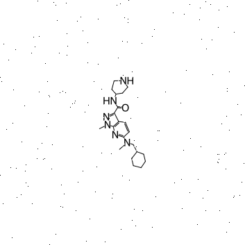 CN(CC1CCCCC1)c1ccc2c(C(=O)NC3CCNCC3)nn(C)c2n1